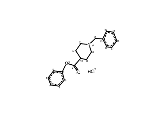 Cl.O=C(Oc1ccccc1)C1CCN(Cc2ccccc2)CC1